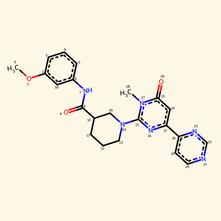 COc1cccc(NC(=O)C2CCCN(c3nc(-c4ccncn4)cc(=O)n3C)C2)c1